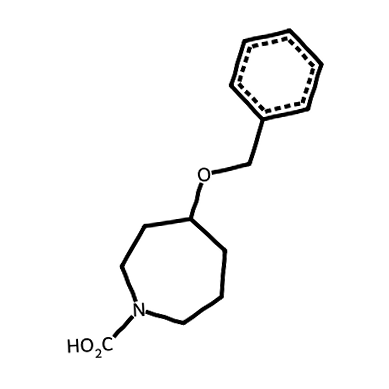 O=C(O)N1CCCC(OCc2ccccc2)CC1